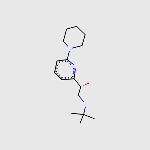 CC(C)(C)NC[C@H](O)c1cccc(N2CCCCC2)n1